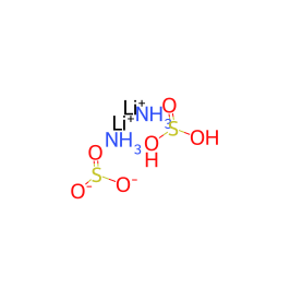 N.N.O=S(O)O.O=S([O-])[O-].[Li+].[Li+]